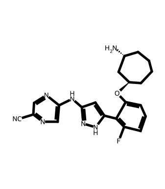 N#Cc1cnc(Nc2cc(-c3c(F)cccc3O[C@@H]3CCCC[C@@H](N)C3)[nH]n2)cn1